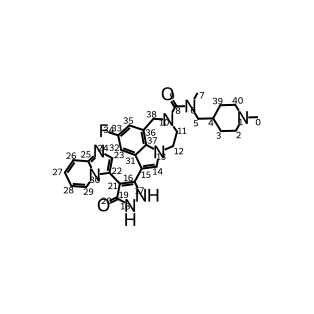 CN1CCC(CN(C)C(=O)N2CCn3cc(-c4[nH][nH]c(=O)c4-c4cnc5ccccn45)c4cc(F)cc(c43)C2)CC1